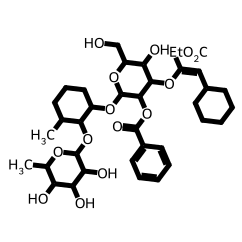 CCOC(=O)/C(=C/C1CCCCC1)OC1C(O)C(CO)OC(OC2CCCC(C)C2OC2OC(C)C(O)C(O)C2O)C1OC(=O)c1ccccc1